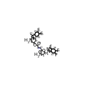 Cc1nn(CC(CN)OC(=O)/C=C/C(=O)OC(CN)Cn2nc(C)c3cc(F)c(F)cc32)c2cc(F)c(F)cc12